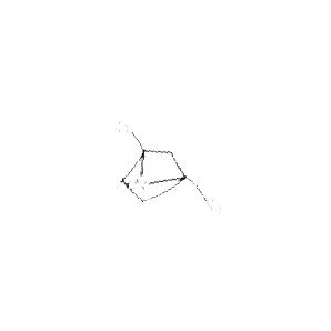 CC(C)C12CCC(C(C)C)(C1)N2